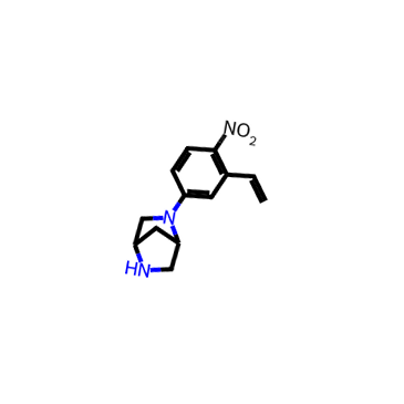 C=Cc1cc(N2CC3CC2CN3)ccc1[N+](=O)[O-]